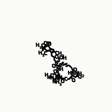 CCC(NC(=N)N)[C@@H]1NC(=O)CCC(=O)[C@H](CC(N)=O)NC(=O)CCSSC[C@@H](C(=O)N(CCCC2=C(C)C=C3C(=O)[C@](C)(O)C4(CC4)C(C)=C32)CC(=O)O)NC1=O